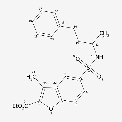 CCOC(=O)c1oc2ccc(S(=O)(=O)NC(C)CCc3ccccc3)cc2c1C